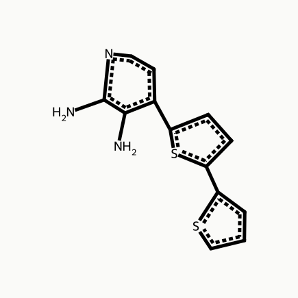 Nc1nccc(-c2ccc(-c3cccs3)s2)c1N